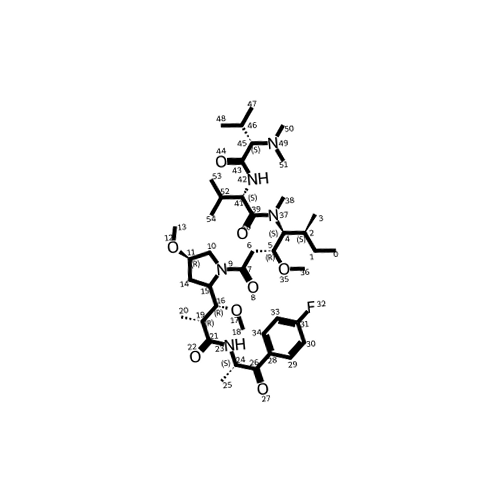 CC[C@H](C)[C@@H]([C@@H](CC(=O)N1C[C@H](OC)CC1[C@H](OC)[C@@H](C)C(=O)N[C@@H](C)C(=O)c1ccc(F)cc1)OC)N(C)C(=O)[C@@H](NC(=O)[C@H](C(C)C)N(C)C)C(C)C